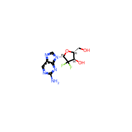 Nc1ncc2ncn([C@@H]3O[C@H](CO)[C@@H](O)C3(F)F)c2n1